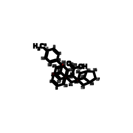 Cc1ccc(Cc2ccccc2N(CC2C3CCC2CN(Cc2ccccc2)C3)C(=O)O)cc1